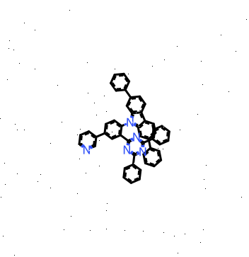 c1ccc(-c2ccc3c4ccc(-c5ccccc5)cc4n(-c4ccc(-c5cccnc5)cc4-c4nc(-c5ccccc5)nc(-c5ccccc5)n4)c3c2)cc1